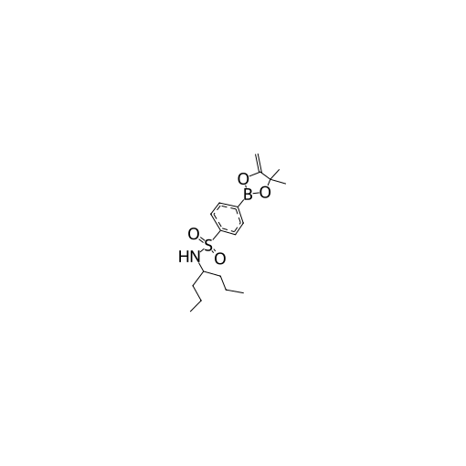 C=C1OB(c2ccc(S(=O)(=O)NC(CCC)CCC)cc2)OC1(C)C